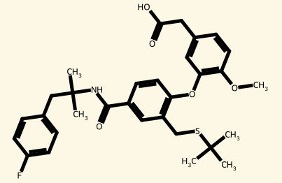 COc1ccc(CC(=O)O)cc1Oc1ccc(C(=O)NC(C)(C)Cc2ccc(F)cc2)cc1CSC(C)(C)C